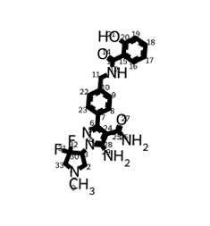 CN1CC(n2nc(-c3ccc(CNC(=O)c4ccccc4O)cc3)c(C(N)=O)c2N)C(F)(F)C1